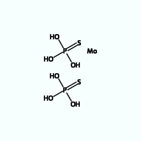 OP(O)(O)=S.OP(O)(O)=S.[Mo]